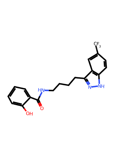 O=C(NCCCCc1n[nH]c2ccc(C(F)(F)F)cc12)c1ccccc1O